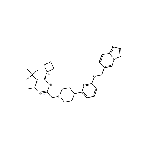 CC(/N=C(/CN1CCC(c2cccc(OCc3ccc4nccn4c3)n2)CC1)NC[C@@H]1CCO1)OC(C)(C)C